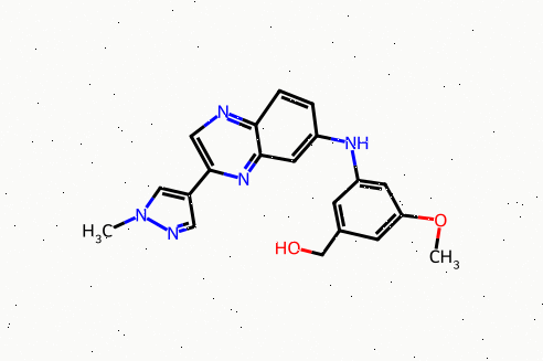 COc1cc(CO)cc(Nc2ccc3ncc(-c4cnn(C)c4)nc3c2)c1